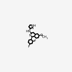 COc1ccc2c(-c3ccc(F)cc3F)nc(Nc3cc[nH]n3)cc2c1